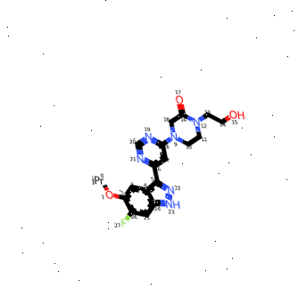 CC(C)Oc1cc2c(-c3cc(N4CCN(CCO)C(=O)C4)ncn3)n[nH]c2cc1F